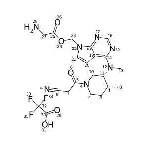 C[C@@H]1CCN(C(=O)CC#N)C[C@@H]1N(C)c1ncnc2c1ccn2COC(=O)CN.O=C(O)C(F)(F)F